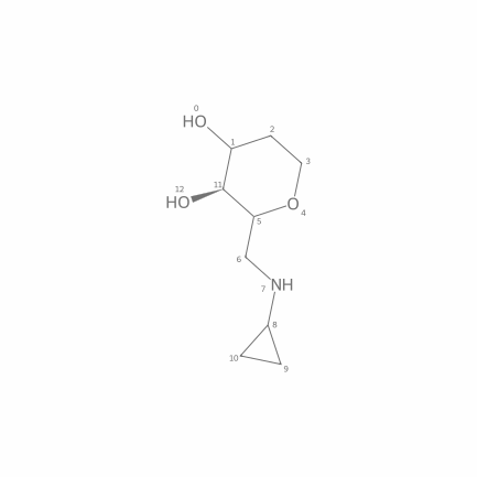 OC1CCOC(CNC2CC2)[C@H]1O